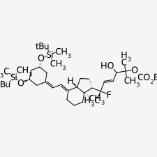 CCOC(=O)OC(C)(C)C(O)/C=C/[C@](C)(F)[C@H]1CC[C@H]2/C(=C/C=C3C[C@@H](O[Si](C)(C)C(C)(C)C)C[C@H](O[Si](C)(C)C(C)(C)C)C3)CCC[C@@]21C